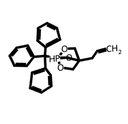 C=CCC12CO[PH](C(c3ccccc3)(c3ccccc3)c3ccccc3)(OC1)OC2